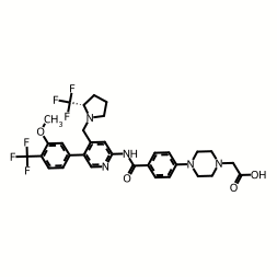 COc1cc(-c2cnc(NC(=O)c3ccc(N4CCN(CC(=O)O)CC4)cc3)cc2CN2CCC[C@H]2C(F)(F)F)ccc1C(F)(F)F